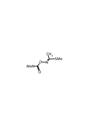 CNC(=O)ON=C(C)SC